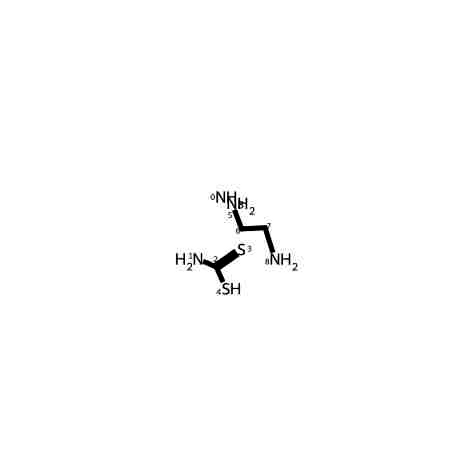 N.NC(=S)S.NCCN